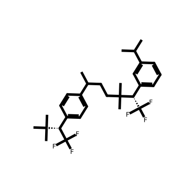 CC(C)c1cccc([C@H](C(F)(F)F)C(C)(C)CCC(C)c2ccc([C@@H](C(C)(C)C)C(F)(F)F)cc2)c1